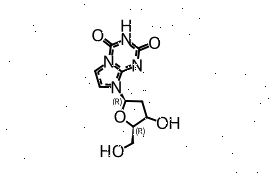 O=c1nc2n([C@H]3CC(O)[C@@H](CO)O3)ccn2c(=O)[nH]1